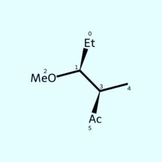 CC[C@H](OC)[C@@H](C)C(C)=O